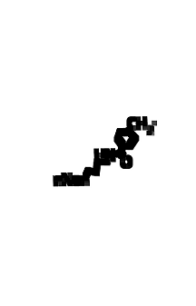 [CH2]c1ccc(C(=O)NCCCCCCCCCCCCC)cc1